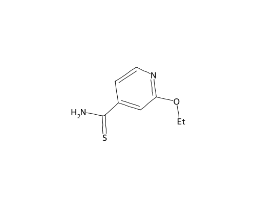 CCOc1cc(C(N)=S)ccn1